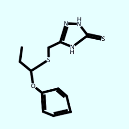 CCC(Oc1ccccc1)SCc1n[nH]c(=S)[nH]1